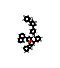 c1cc(-c2cccc3ccccc23)cc(N(c2ccc(-c3ccc4oc5ccccc5c4c3)cc2)c2ccccc2-c2ccc3c(c2)sc2ccccc23)c1